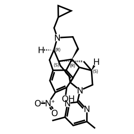 Cc1cc(C)nc(N2C[C@H]3C[C@@]45CCC2C3[C@@]42CCN(CC3CC3)[C@@H]5Cc3cc([N+](=O)[O-])c(O)cc32)n1